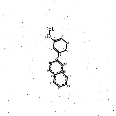 CCOC1=CC[CH]C(c2ccc3ccccc3c2)=C1